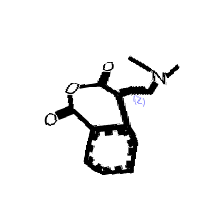 CN(C)/C=C1\C(=O)OC(=O)c2ccccc21